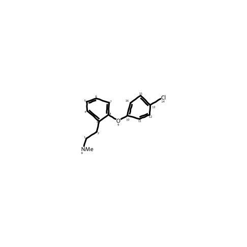 CNCCc1ccccc1Oc1ccc(Cl)cc1